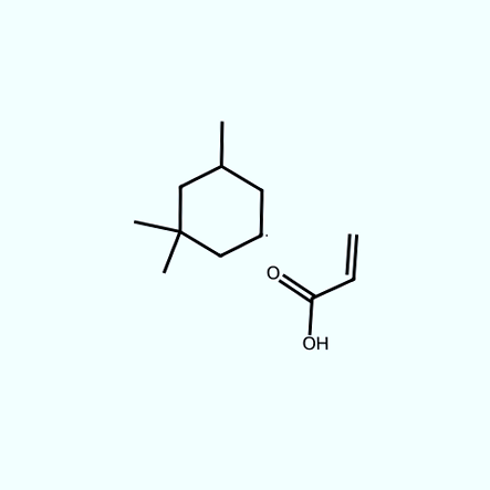 C=CC(=O)O.CC1C[CH]CC(C)(C)C1